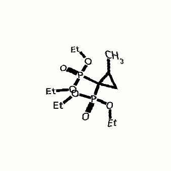 CCOP(=O)(OCC)C1(P(=O)(OCC)OCC)CC1C